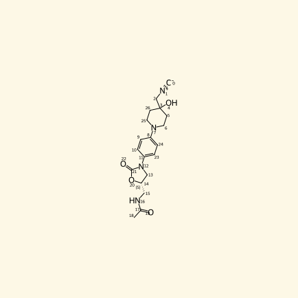 [C-]#[N+]CC1(O)CCN(c2ccc(N3C[C@H](CNC(C)=O)OC3=O)cc2)CC1